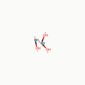 BO.OBO